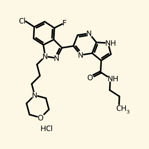 CCCNC(=O)c1c[nH]c2ncc(-c3nn(CCCN4CCOCC4)c4cc(Cl)cc(F)c34)nc12.Cl